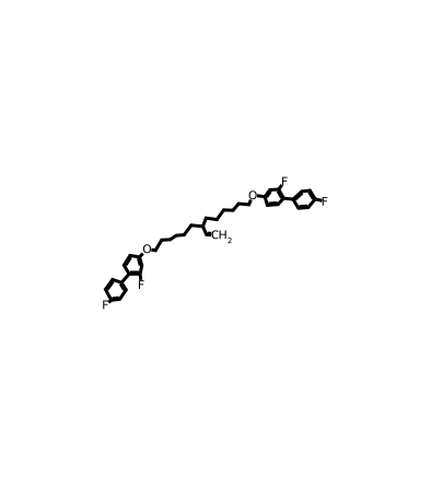 C=CC(CCCCCCOc1ccc(-c2ccc(F)cc2)c(F)c1)CCCCCCOc1ccc(-c2ccc(F)cc2)c(F)c1